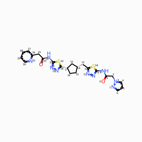 O=C(Cn1cccn1)Nc1nnc(C[C@@H]2CC[C@H](c3nnc(NC(=O)Cc4ccccn4)s3)C2)s1